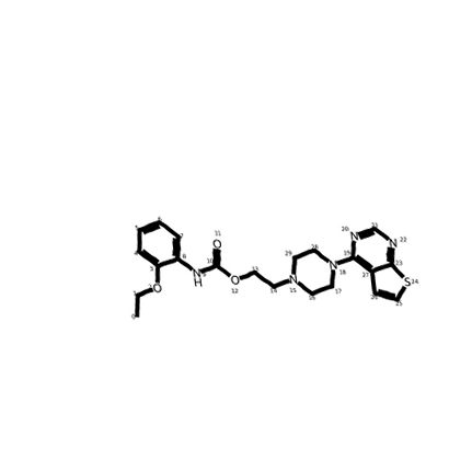 CCOc1ccccc1NC(=O)OCCN1CCN(c2ncnc3sccc23)CC1